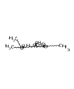 CCCCCCCCCCCOC(=O)CCCCCN(CCCCCCCC(=O)OC(CCCCCC)CCCCCCCC)C(C)(C)CO